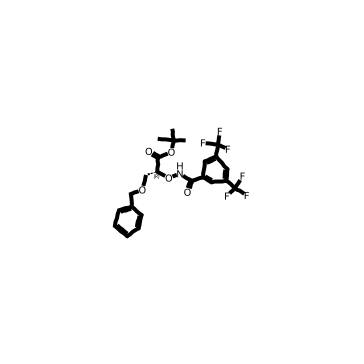 CC(C)(C)OC(=O)[C@@H](COCc1ccccc1)ONC(=O)c1cc(C(F)(F)F)cc(C(F)(F)F)c1